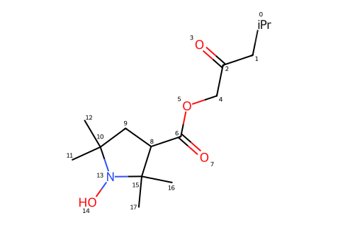 CC(C)CC(=O)COC(=O)C1CC(C)(C)N(O)C1(C)C